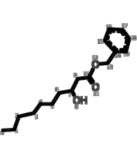 CCCCCCCC(O)CC(=O)OCc1ccccc1